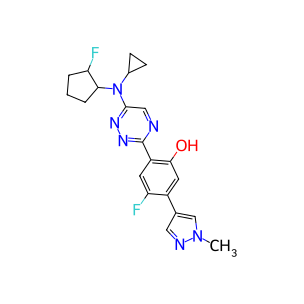 Cn1cc(-c2cc(O)c(-c3ncc(N(C4CC4)C4CCCC4F)nn3)cc2F)cn1